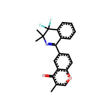 Cc1coc2ccc(C3=NC(C)(C)C(F)(F)c4ccccc43)cc2c1=O